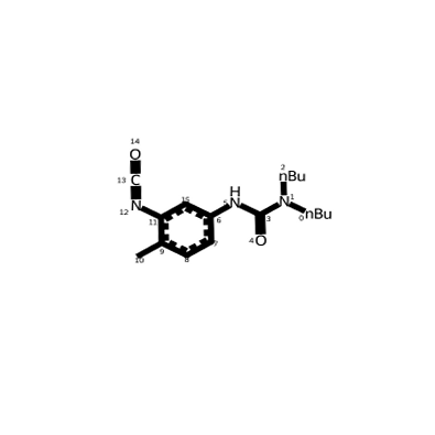 CCCCN(CCCC)C(=O)Nc1ccc(C)c(N=C=O)c1